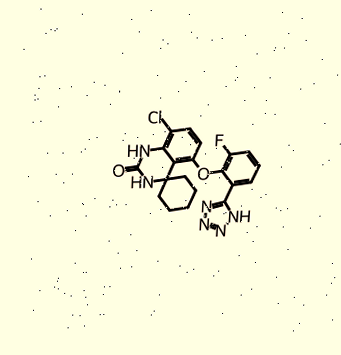 O=C1Nc2c(Cl)ccc(Oc3c(F)cccc3-c3nnn[nH]3)c2C2(CCCCC2)N1